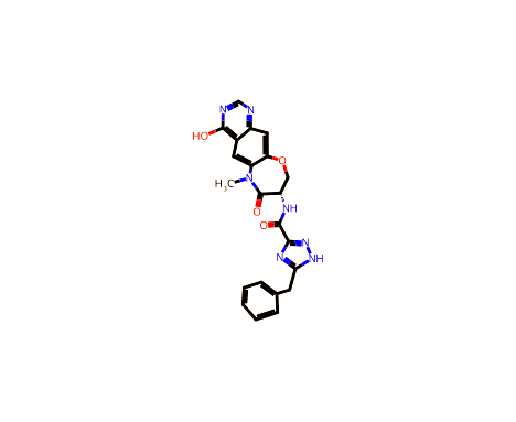 CN1C(=O)[C@@H](NC(=O)c2n[nH]c(Cc3ccccc3)n2)COc2cc3ncnc(O)c3cc21